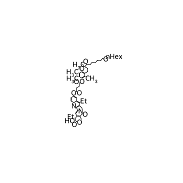 CCCCCCOCCCCCCC(=O)[C@]1(C)CCc2c(C)c(OC(=O)CCC(=O)Oc3ccc4nc5c(c(CC)c4c3)Cn3c-5cc4c(c3=O)COC(=O)[C@]4(O)CC)c(C)c(C)c2O1